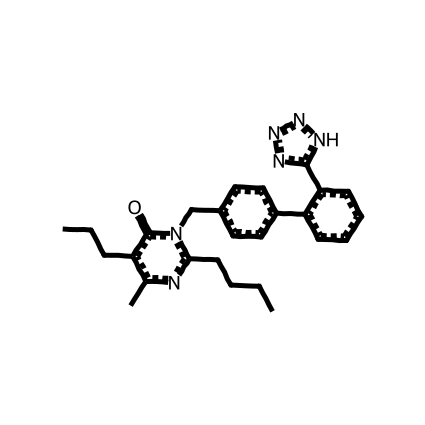 CCCCc1nc(C)c(CCC)c(=O)n1Cc1ccc(-c2ccccc2-c2nnn[nH]2)cc1